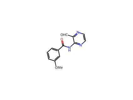 COc1cccc(C(=O)Nc2nccnc2C=O)c1